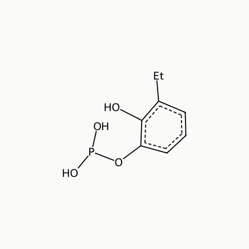 CCc1cccc(OP(O)O)c1O